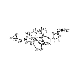 COc1cccc(C=CC(=O)N(C)[C@H]2CC[C@@H]3CN(CC4CC4)CC[C@@]3(c3cccc(O)c3)C2)c1